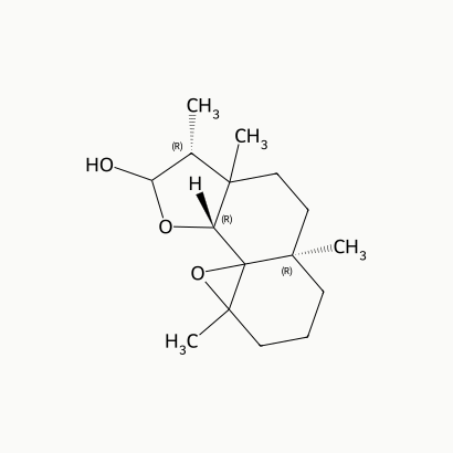 C[C@H]1C(O)O[C@@H]2C1(C)CC[C@@]1(C)CCCC3(C)OC231